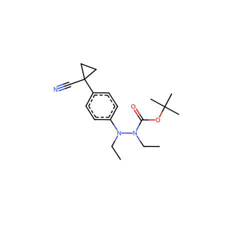 CCN(C(=O)OC(C)(C)C)N(CC)c1ccc(C2(C#N)CC2)cc1